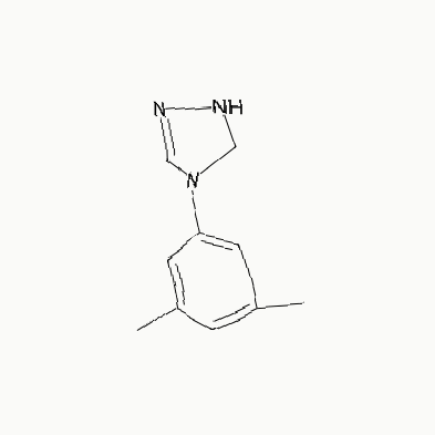 Cc1cc(C)cc(N2C=NNC2)c1